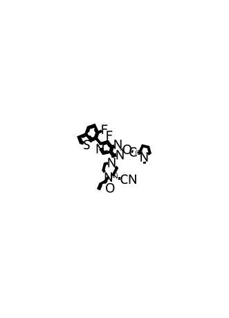 C=CC(=O)N1CCN(c2nc(OC[C@@H]3CCCN3C)nc3c(F)c(-c4c(F)ccc5ccsc45)ncc23)C[C@@H]1CC#N